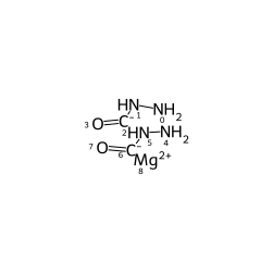 NN[C-]=O.NN[C-]=O.[Mg+2]